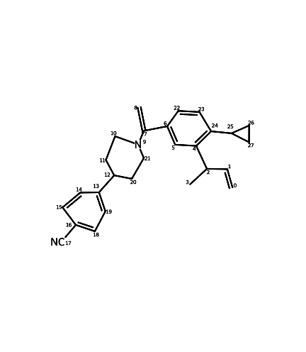 C=CC(C)c1cc(C(=C)N2CCC(c3ccc(C#N)cc3)CC2)ccc1C1CC1